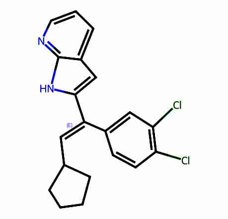 Clc1ccc(/C(=C\C2CCCC2)c2cc3cccnc3[nH]2)cc1Cl